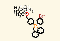 CC(C)(C)[Si](C)(C)OCc1ccc([P+](Cc2ccccc2)(c2ccccc2)c2ccccc2)cc1.[Br-]